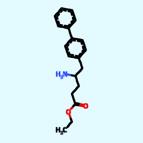 CCOC(=O)CCC(N)Cc1ccc(-c2ccccc2)cc1